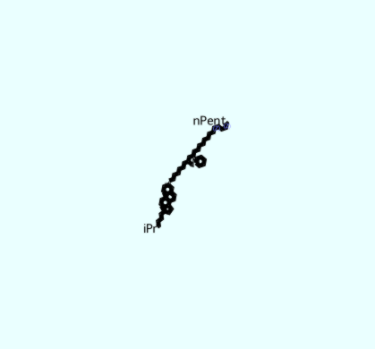 CCCCC/C=C\C/C=C\CCCCCCCCCCC(CCCCCCC[C@H]1CCC2(C)C(=CCC3C2CCC2(C)C(CCCCC(C)C)CCC32)C1)CN1CCCCC1